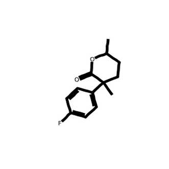 CC1CCC(C)(c2ccc(F)cc2)C(=O)O1